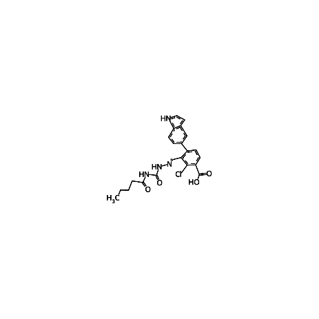 CCCCC(=O)NC(=O)NN=Cc1c(-c2ccc3[nH]ccc3c2)ccc(C(=O)O)c1Cl